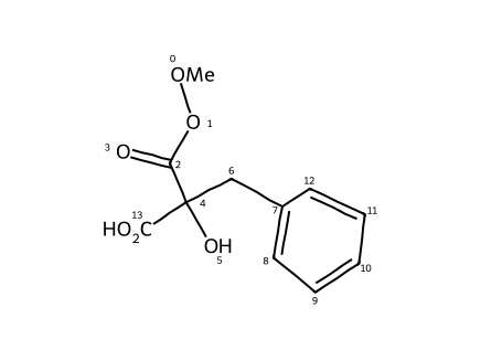 COOC(=O)C(O)(Cc1ccccc1)C(=O)O